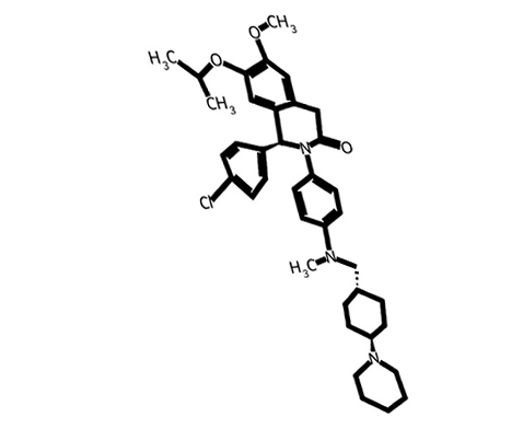 COc1cc2c(cc1OC(C)C)[C@H](c1ccc(Cl)cc1)N(c1ccc(N(C)C[C@H]3CC[C@H](N4CCCCC4)CC3)cc1)C(=O)C2